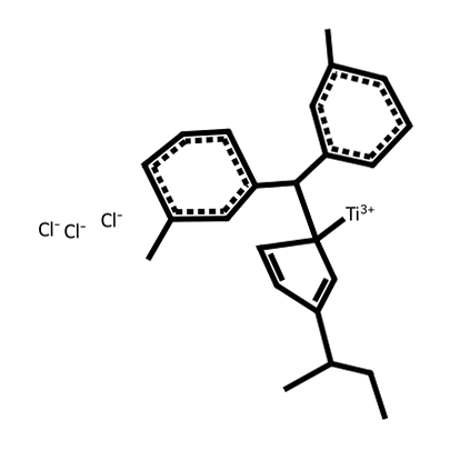 CCC(C)C1=C[C]([Ti+3])(C(c2cccc(C)c2)c2cccc(C)c2)C=C1.[Cl-].[Cl-].[Cl-]